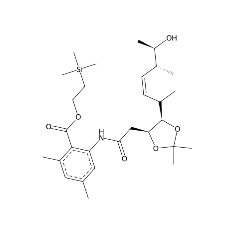 Cc1cc(C)c(C(=O)OCC[Si](C)(C)C)c(NC(=O)C[C@@H]2OC(C)(C)O[C@@H]2C(C)/C=C\[C@@H](C)[C@@H](C)O)c1